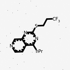 CCCc1nc(SCCC(F)(F)F)nc2cnccc12